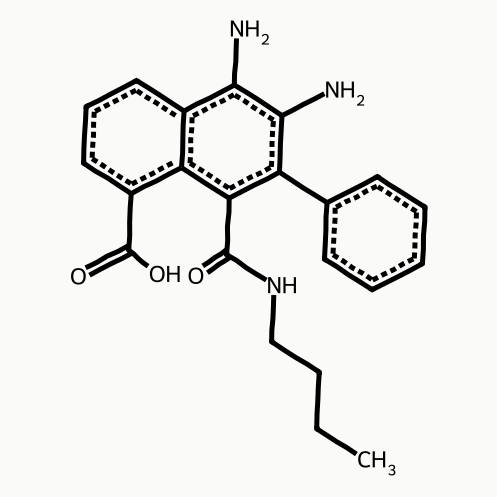 CCCCNC(=O)c1c(-c2ccccc2)c(N)c(N)c2cccc(C(=O)O)c12